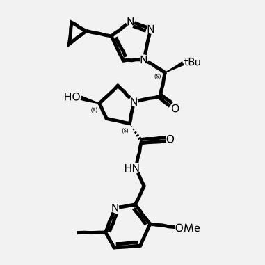 COc1ccc(C)nc1CNC(=O)[C@@H]1C[C@@H](O)CN1C(=O)[C@@H](n1cc(C2CC2)nn1)C(C)(C)C